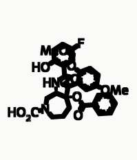 COCOc1ccc(OC)cc1C(=O)[C@@]1(OC(=O)c2ccccc2)CCCN(C(=O)O)C[C@H]1NC(=O)c1cc(F)ccc1O